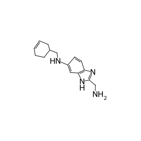 NCc1nc2ccc(NCC3CC=CCC3)cc2[nH]1